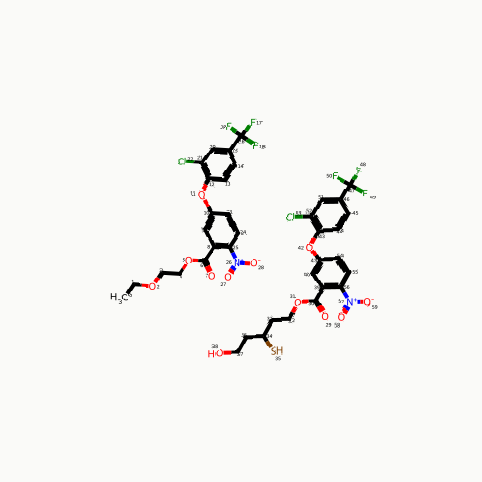 CCOCCOC(=O)c1cc(Oc2ccc(C(F)(F)F)cc2Cl)ccc1[N+](=O)[O-].O=C(OCCC(S)CCO)c1cc(Oc2ccc(C(F)(F)F)cc2Cl)ccc1[N+](=O)[O-]